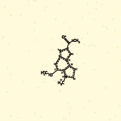 COc1cc2sc(C(C)=O)cc2c2ccn(C)c12